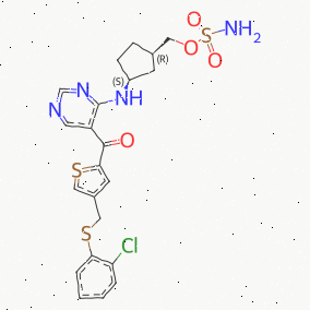 NS(=O)(=O)OC[C@@H]1CC[C@H](Nc2ncncc2C(=O)c2cc(CSc3ccccc3Cl)cs2)C1